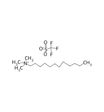 CCCCCCCCCCCC[N+](C)(C)C.O=S(=O)([O-])C(F)(F)F